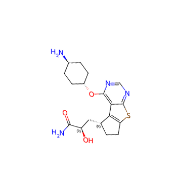 NC(=O)[C@H](O)C[C@H]1CCc2sc3ncnc(O[C@H]4CC[C@H](N)CC4)c3c21